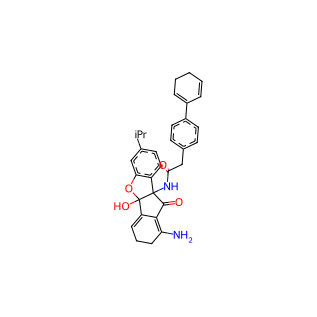 CC(C)c1ccc2c(c1)OC1(O)C3=CCCC(N)=C3C(=O)C21NC(=O)Cc1ccc(C2=CCCC=C2)cc1